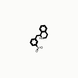 O=[N+]([O-])c1cccc(CC2NCCc3ccccc32)c1